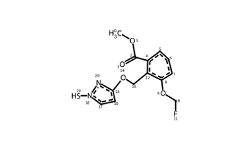 COC(=O)c1cccc(OCF)c1COc1ccn(S)n1